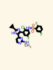 CNc1nccc(-c2[nH]c(C3CC3)nc2-c2cc(F)cc(NS(=O)(=O)c3cc(F)ccc3F)c2Cl)n1